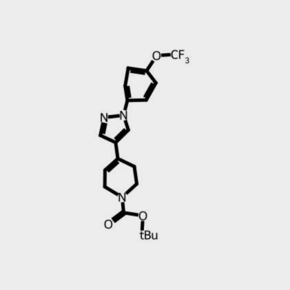 CC(C)(C)OC(=O)N1CC=C(c2cnn(-c3ccc(OC(F)(F)F)cc3)c2)CC1